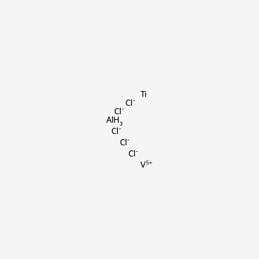 [AlH3].[Cl-].[Cl-].[Cl-].[Cl-].[Cl-].[Ti].[V+5]